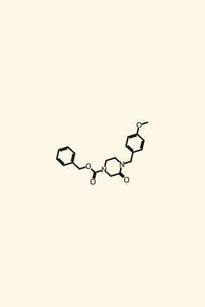 COc1ccc(CN2CCN(C(=O)OCc3ccccc3)CC2=O)cc1